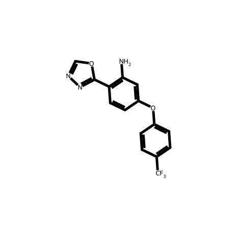 Nc1cc(Oc2ccc(C(F)(F)F)cc2)ccc1-c1nnco1